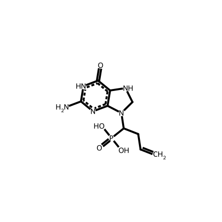 C=CCC(N1CNc2c1nc(N)[nH]c2=O)P(=O)(O)O